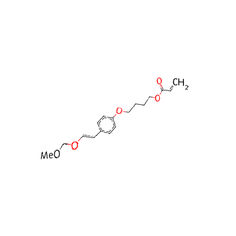 C=CC(=O)OCCCCOc1ccc(/C=C/OCOC)cc1